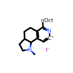 CCCCCCCCC1=N[C+]=CC2=C1CCC1CCN(C)C21.[I-]